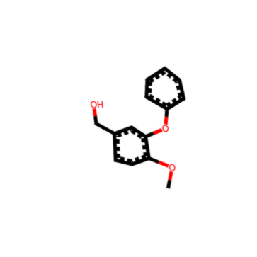 COc1ccc(CO)cc1Oc1ccccc1